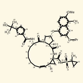 COc1ccc2c(O[C@@H]3C[C@H]4C(=O)N[C@]5(C(=O)NS(=O)(=O)C6(C)CC6)C[C@H]5C=CCCCCC[C@H](NC(=O)c5ccc(C(C)(C)O)s5)C(=O)N4C3)cc(OC(C)C)nc2c1C